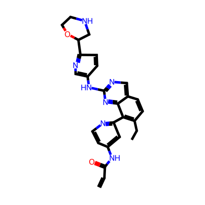 C=CC(=O)Nc1ccnc(-c2c(CC)ccc3cnc(Nc4ccc(C5CNCCO5)nc4)nc23)c1